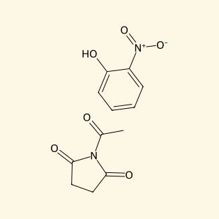 CC(=O)N1C(=O)CCC1=O.O=[N+]([O-])c1ccccc1O